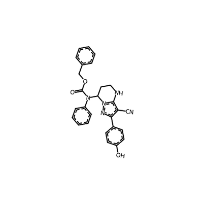 N#Cc1c(-c2ccc(O)cc2)nn2c1NCCC2N(C(=O)OCc1ccccc1)c1ccccc1